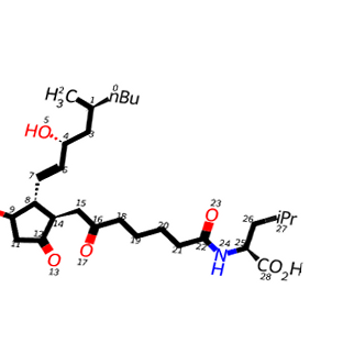 CCCC[C@H](C)C[C@@H](O)/C=C/[C@H]1C(O)CC(=O)[C@@H]1CC(=O)CCCCC(=O)N[C@@H](CC(C)C)C(=O)O